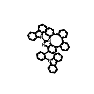 c1ccc(-n2c3ccccc3c3ccccc32)c(-c2ccc3c4ccccc4c4ccccc4c4ccccc4n4c(-n5c6ccccc6c6ccccc65)nc2c34)c1